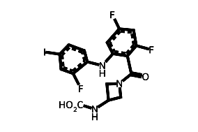 O=C(O)NC1CN(C(=O)c2c(F)cc(F)cc2Nc2ccc(I)cc2F)C1